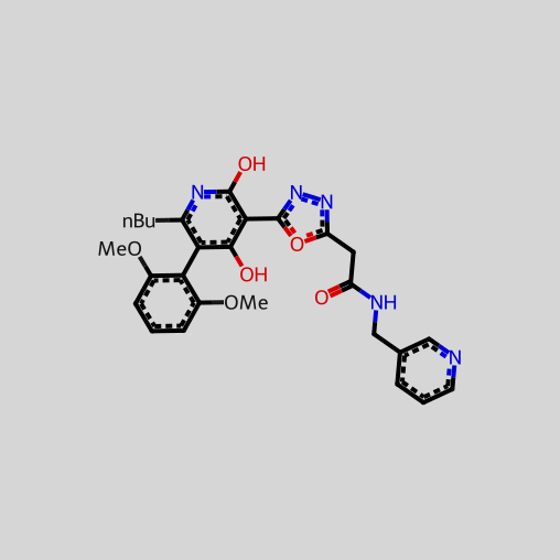 CCCCc1nc(O)c(-c2nnc(CC(=O)NCc3cccnc3)o2)c(O)c1-c1c(OC)cccc1OC